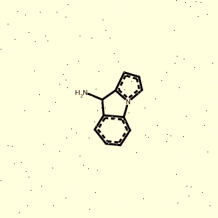 NC1c2ccccc2-n2cccc21